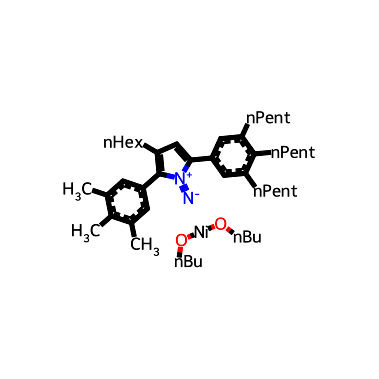 CCCCCCC1=C(c2cc(C)c(C)c(C)c2)[N+](=[N-])C(c2cc(CCCCC)c(CCCCC)c(CCCCC)c2)=C1.CCCC[O][Ni][O]CCCC